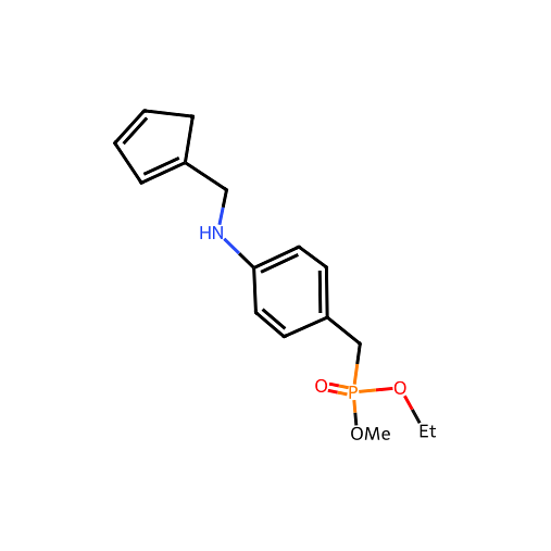 CCOP(=O)(Cc1ccc(NCC2=CC=CC2)cc1)OC